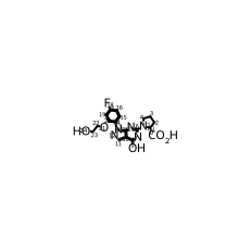 O=C(O)[C@@H]1CCCN1c1nc(O)c2cnn(-c3ccc(F)cc3OCCO)c2n1